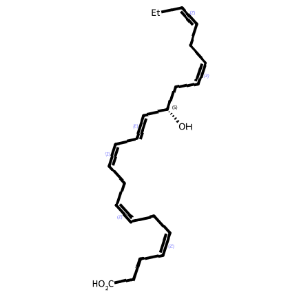 CC/C=C\C/C=C\C[C@H](O)/C=C/C=C\C/C=C\C/C=C\CCC(=O)O